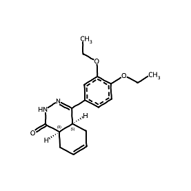 CCOc1ccc(C2=NNC(=O)[C@@H]3CC=CC[C@H]23)cc1OCC